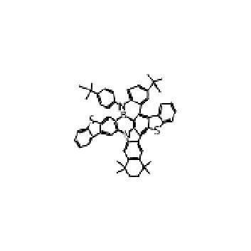 CC(C)(C)c1ccc(N2B3c4cc5sc6ccccc6c5cc4-n4c5cc6c(cc5c5c7sc8ccccc8c7c(c3c54)-c3cc(C(C)(C)C)ccc32)C(C)(C)CCC6(C)C)cc1